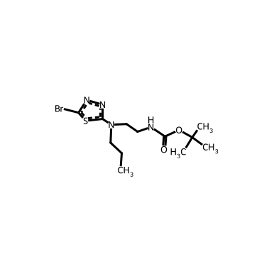 CCCN(CCNC(=O)OC(C)(C)C)c1nnc(Br)s1